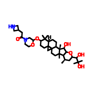 C[C@@H]1CC(C(O)C(C)(C)O)OC2C1C1(C)CCC34CC35CCC(OC3CN(C(=O)CC6CNC6)CCO3)C(C)(C)[C@@H]5CCC4[C@]1(C)[C@H]2O